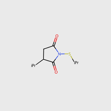 CC(C)SN1C(=O)CC(C(C)C)C1=O